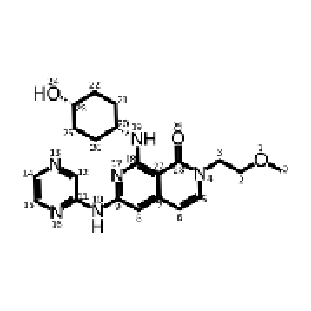 COCCn1ccc2cc(Nc3cnccn3)nc(N[C@H]3CC[C@@H](O)CC3)c2c1=O